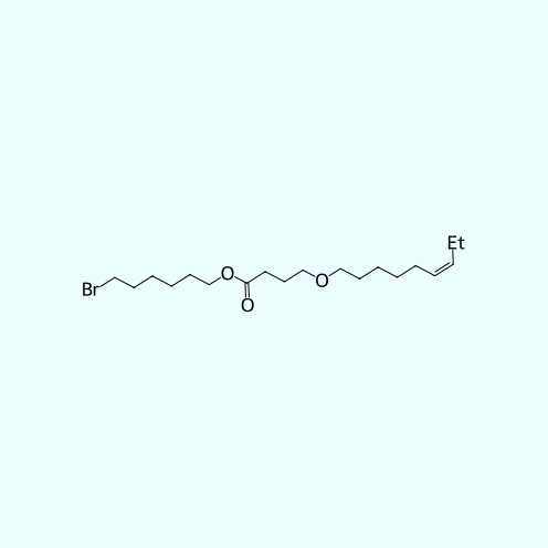 CC/C=C\CCCCCOCCCC(=O)OCCCCCCBr